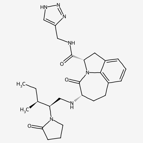 CC[C@H](C)[C@@H](CN[C@H]1CCc2cccc3c2N(C1=O)[C@H](C(=O)NCc1c[nH]nn1)C3)N1CCCC1=O